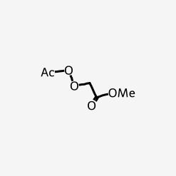 COC(=O)COOC(C)=O